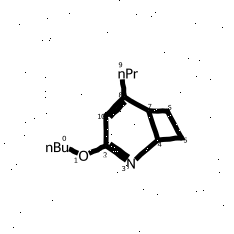 CCCCOC1=NC2CCC2C(CCC)=C1